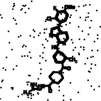 COc1ccc(-c2cnc3c(Nc4ccc(C(=O)N5CCN(C(=O)NC[C@H](C)N)CC5)c(C)c4)nccn23)c(Cl)c1F